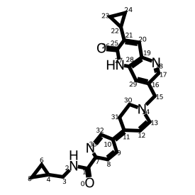 O=C(NCC1CC1)C1C=CC(=C2C=CN(Cc3cnc4cc(C5CC5)c(=O)[nH]c4c3)CC2)C=N1